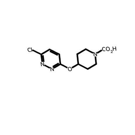 O=C(O)N1CCC(Oc2ccc(Cl)nn2)CC1